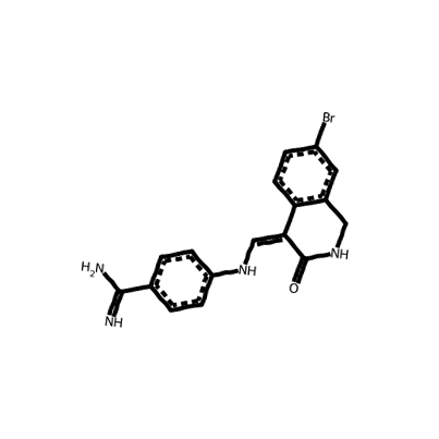 N=C(N)c1ccc(NC=C2C(=O)NCc3cc(Br)ccc32)cc1